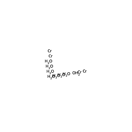 O.O.O.O.O.O.O.O.[Cr].[Cr].[Cr].[Cr]